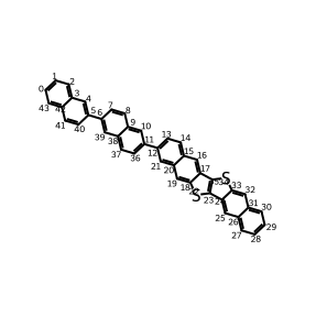 c1ccc2cc(-c3ccc4cc(-c5ccc6cc7c(cc6c5)sc5c6cc8ccccc8cc6sc75)ccc4c3)ccc2c1